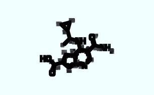 CC(Nc1c(C(N)=O)cnn2cc(C(=O)O)cc12)C1CC1